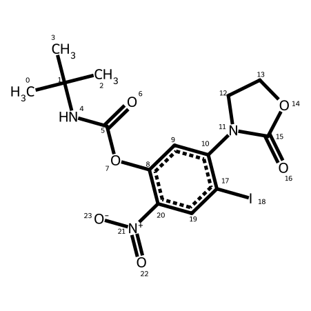 CC(C)(C)NC(=O)Oc1cc(N2CCOC2=O)c(I)cc1[N+](=O)[O-]